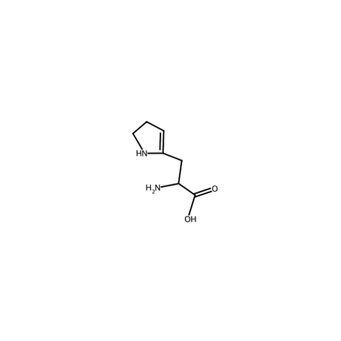 NC(CC1=CCCN1)C(=O)O